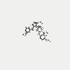 Cc1ccc(CC2CON=C(c3c(Oc4cccc(C(F)(F)F)c4)cnn3C)N2)c(C)c1